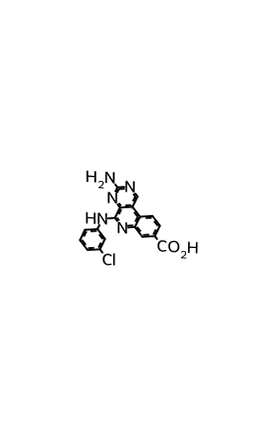 Nc1ncc2c(n1)c(Nc1cccc(Cl)c1)nc1cc(C(=O)O)ccc12